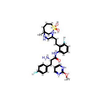 CC(C)Oc1ncc([C@H](c2ccc(F)cc2)[C@H](N)C(=O)Nc2cccc(F)c2CCC2CN[C@@H]3CCCS(=O)(=O)N2C3)cn1